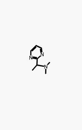 CC(c1ncccn1)N(C)C